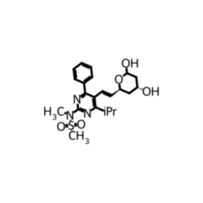 CC(C)c1nc(N(C)S(C)(=O)=O)nc(-c2ccccc2)c1/C=C/[C@@H]1C[C@@H](O)CC(O)O1